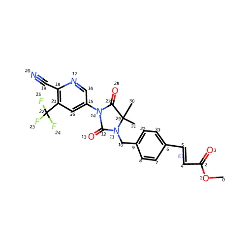 COC(=O)/C=C/c1ccc(CN2C(=O)N(c3cnc(C#N)c(C(F)(F)F)c3)C(=O)C2(C)C)cc1